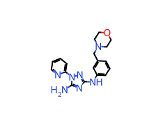 Nc1nc(Nc2cccc(CN3CCOCC3)c2)nn1-c1ccccn1